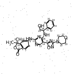 CC1(C)OC(=O)c2ccc(Nc3ncc(-c4nc(N5CCOCC5)no4)c(NC(CO)c4ccccc4)n3)cc21